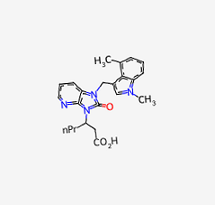 CCCC(CC(=O)O)n1c(=O)n(Cc2cn(C)c3cccc(C)c23)c2cccnc21